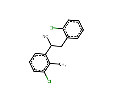 Cc1c(Cl)cccc1C(C#N)Cc1ccccc1Cl